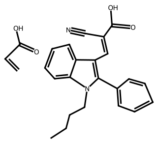 C=CC(=O)O.CCCCn1c(-c2ccccc2)c(C=C(C#N)C(=O)O)c2ccccc21